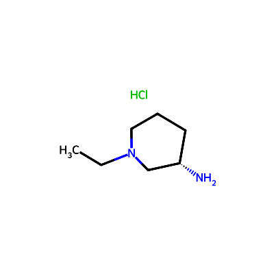 CCN1CCC[C@H](N)C1.Cl